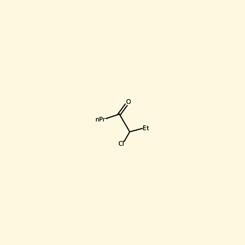 CCCC(=O)C(Cl)CC